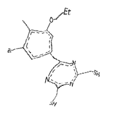 CCOc1cc(-c2nc(S)nc(S)n2)cc(Br)c1C